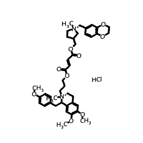 COc1ccc(CC2c3cc(OC)c(OC)cc3CC[N+]2(C)CCCOC(=O)C=CC(=O)OCC2CC[N+](C)(Cc3ccc4c(c3)OCCO4)C2)cc1.Cl